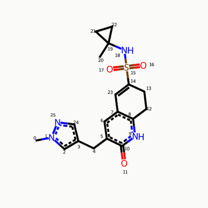 Cn1cc(Cc2cc3c([nH]c2=O)CCC(S(=O)(=O)NC2(C)CC2)=C3)cn1